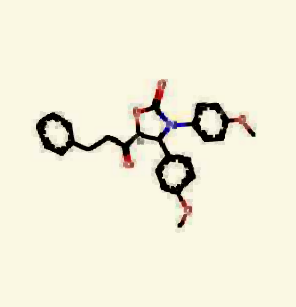 COc1ccc(C2[C@@H](C(=O)CCc3ccccc3)OC(=O)N2c2ccc(OC)cc2)cc1